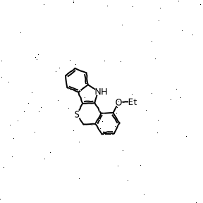 CCOc1cccc2c1-c1[nH]c3ccccc3c1SC2